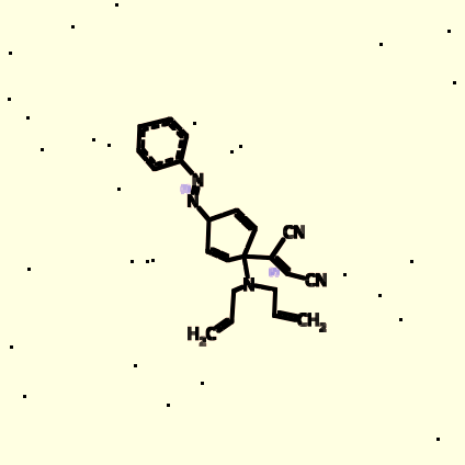 C=CCN(CC=C)C1(/C(C#N)=C/C#N)C=CC(/N=N/c2ccccc2)C=C1